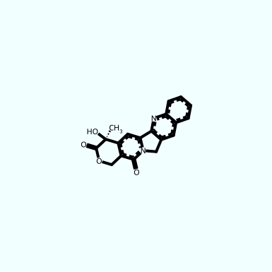 C[C@@]1(O)C(=O)OCc2c1cc1n(c2=O)Cc2cc3ccccc3nc2-1